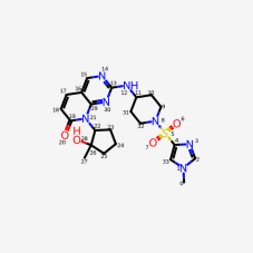 Cn1cnc(S(=O)(=O)N2CCC(Nc3ncc4ccc(=O)n(C5CCCC5(C)O)c4n3)CC2)c1